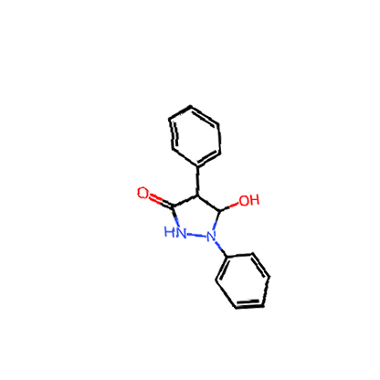 O=C1NN(c2ccccc2)C(O)C1c1ccccc1